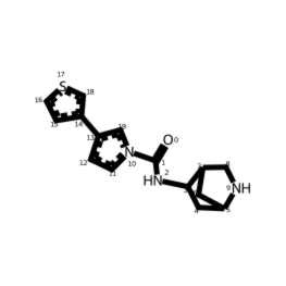 O=C(NC1CC2CC1CN2)n1ccc(-c2ccsc2)c1